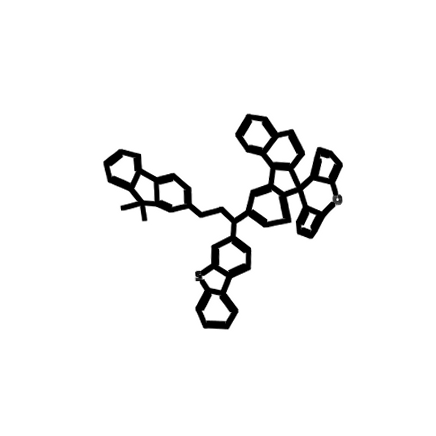 CC1(C)c2ccccc2-c2ccc(CCC(c3ccc4c(c3)-c3c(ccc5ccccc35)C43c4ccccc4Oc4ccccc43)c3ccc4c(c3)sc3ccccc34)cc21